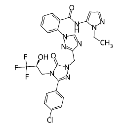 CCn1nccc1NC(=O)c1ccccc1-n1cnc(Cn2nc(-c3ccc(Cl)cc3)n(C[C@H](O)C(F)(F)F)c2=O)n1